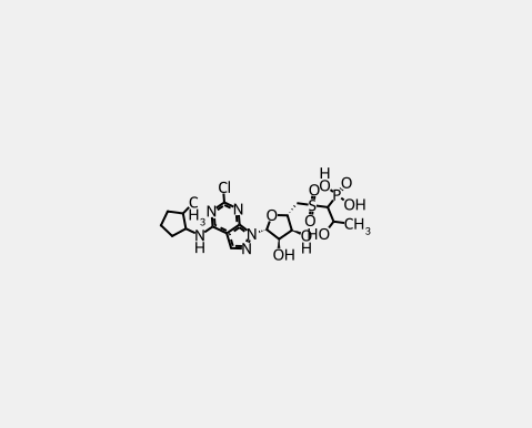 CC(O)C(P(=O)(O)O)S(=O)(=O)C[C@H]1O[C@@H](n2ncc3c(NC4CCCC4C)nc(Cl)nc32)[C@H](O)[C@@H]1O